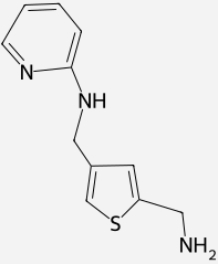 NCc1cc(CNc2ccccn2)cs1